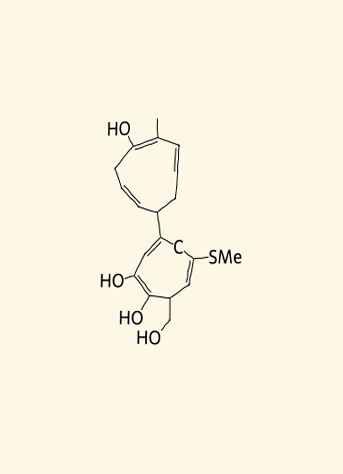 CSC1=CC(CO)/C(O)=C(O)\C=C(\C2/C=C\C/C(O)=C(C)\C=C/C2)C1